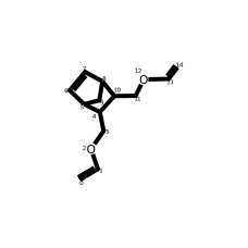 C=COCC1C2C=CC(C2)C1COC=C